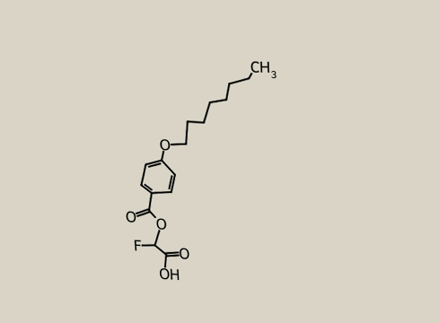 CCCCCCCCOc1ccc(C(=O)OC(F)C(=O)O)cc1